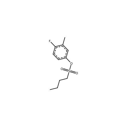 CCCCS(=O)(=O)Oc1ccc(F)c(C)c1